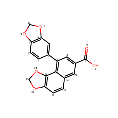 O=C(O)c1cc(-c2ccc3c(c2)OCO3)c2c3c(ccc2c1)OCO3